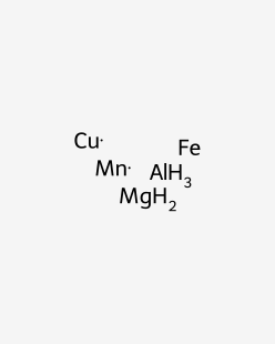 [AlH3].[Cu].[Fe].[MgH2].[Mn]